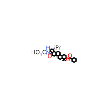 CC(C)[C@@H]1CC[C@]2(C(=O)NCC(=O)O)CC[C@]3(C)C(CCC4[C@@]5(C)CC[C@@H](OC(=O)C6CCCCC6)C(C)(C)C5CC[C@]43C)C12